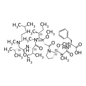 CC[C@H](C)[C@@H]([C@@H](CC(=O)N1CCC[C@H]1[C@H](OC)[C@@H](C)C(=O)N[C@@H](Cc1ccccc1)C(=O)O)OC)N(C)C(=O)[C@@H](NC(=O)[C@H](C(C)C)N(C)CCCC(C)C)C(C)C